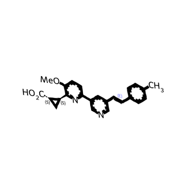 COc1ccc(-c2cncc(/C=C/c3ccc(C)cc3)c2)nc1[C@H]1C[C@@H]1C(=O)O